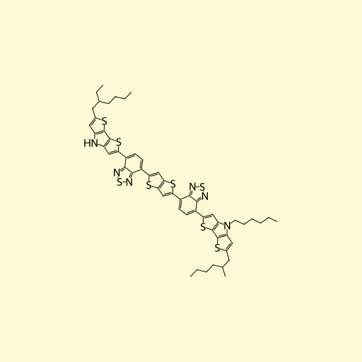 CCCCCCn1c2cc(CC(C)CCCC)sc2c2sc(-c3ccc(-c4cc5sc(-c6ccc(-c7cc8[nH]c9cc(CC(CC)CCCC)sc9c8s7)c7nsnc67)cc5s4)c4nsnc34)cc21